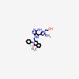 Cc1cccc2cc(Cn3nc(C4=CN(CCO)N(C)C4)c4c(N)ncnc43)n(-c3ccccc3F)c(=O)c12